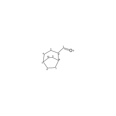 O=CC1CCC2CCC1CC2